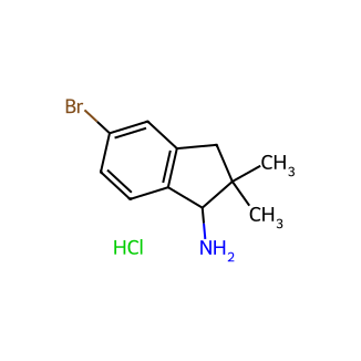 CC1(C)Cc2cc(Br)ccc2C1N.Cl